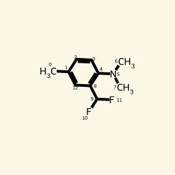 Cc1ccc(N(C)C)c(C(F)F)c1